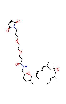 CCC[C@@H](C)[C@H]1O[C@]1(C)C[C@H](C)/C=C/C=C(\C)[C@H]1O[C@@H](CNC(=O)CCOCCOCCCN2C(=O)C=CC2=O)CC[C@@H]1C